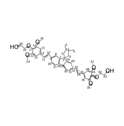 CCCC1(CCC)c2cc(/C=C/c3cc(OC)c(OCCO)c(OC)c3)ccc2-c2ccc(/C=C/c3cc(OC)c(OCCO)c(OC)c3)cc21